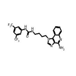 Nc1nc2ccccc2c2c1ncn2CCCCNC(=O)Nc1cc(C(F)(F)F)cc(C(F)(F)F)c1